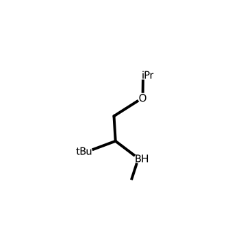 CBC(COC(C)C)C(C)(C)C